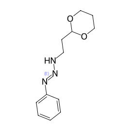 c1ccc(/N=N/NCCC2OCCCO2)cc1